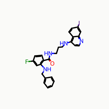 O=C(NCCCNc1ccnc2cc(I)ccc12)c1ccc(F)cc1NCc1ccccc1